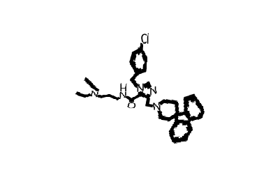 CCN(CC)CCCNC(=O)c1c(CN2CCC(c3ccccc3)(c3ccccc3)CC2)ncn1Cc1ccc(Cl)cc1